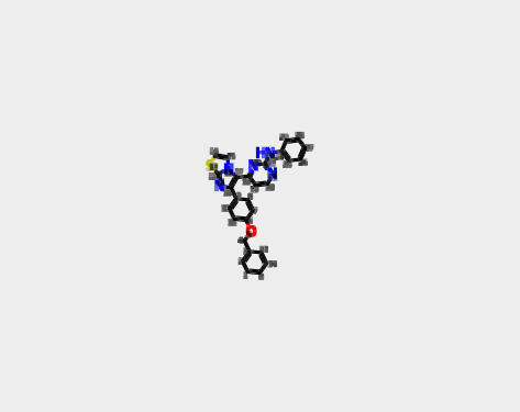 c1ccc(COc2ccc(-c3nc4sccn4c3-c3ccnc(Nc4ccccc4)n3)cc2)cc1